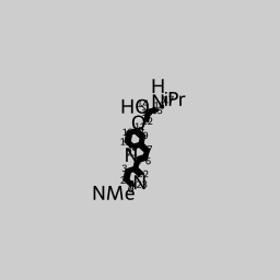 CNc1ccc(-c2ccc3cc(OC[C@H](O)CNC(C)C)ccc3n2)cn1